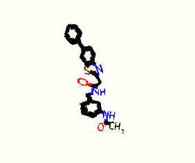 CC(=O)Nc1cccc(CNC(=O)Cc2nc3ccc(-c4ccccc4)cc3s2)c1